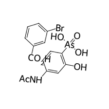 CC(=O)Nc1ccc([As](=O)(O)O)c(O)c1.O=C(O)c1cccc(Br)c1